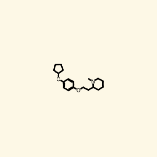 CN1CCCCC1CCOc1ccc(OC2CCCC2)cc1